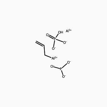 C=C[CH2][Al+2].O=P([O-])([O-])O.[Al+3].[O-]P([O-])[O-]